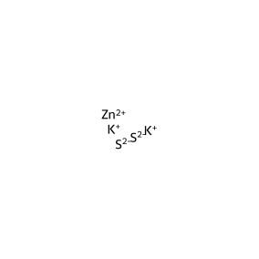 [K+].[K+].[S-2].[S-2].[Zn+2]